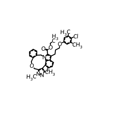 CCOC(=O)c1c(CCCOc2cc(C)c(Cl)c(C)c2)c2ccc(F)c3c2n1Cc1ccccc1COCc1c-3c(C)nn1C